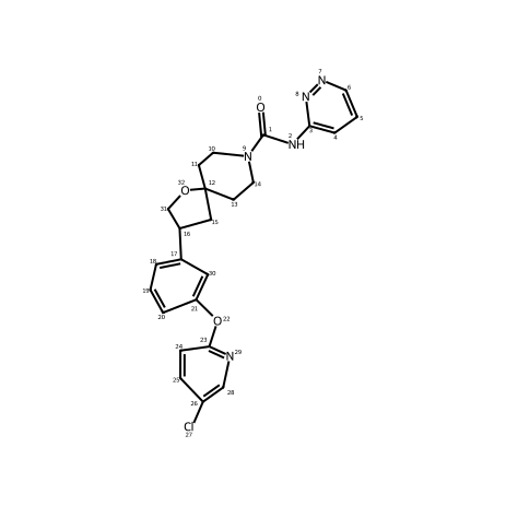 O=C(Nc1cccnn1)N1CCC2(CC1)CC(c1cccc(Oc3ccc(Cl)cn3)c1)CO2